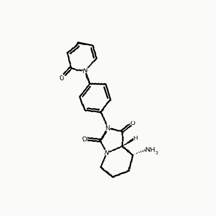 N[C@@H]1CCCN2C(=O)N(c3ccc(-n4ccccc4=O)cc3)C(=O)[C@H]12